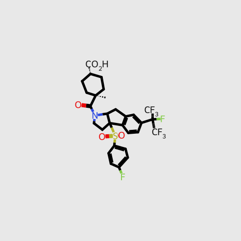 C[C@]1(C(=O)N2CCC3(S(=O)(=O)c4ccc(F)cc4)c4ccc(C(F)(C(F)(F)F)C(F)(F)F)cc4CC23)CC[C@H](C(=O)O)CC1